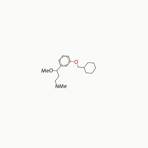 CNCCC(OC)c1cccc(OCC2CCCCC2)c1